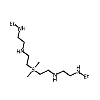 CCNCCNCC[Si](C)(C)CCNCCNCC